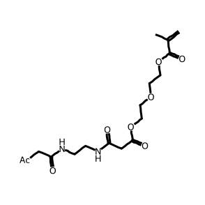 C=C(C)C(=O)OCCOCCOC(=O)CC(=O)NCCNC(=O)CC(C)=O